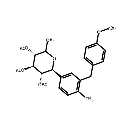 CCCCOc1ccc(Cc2cc([C@@H]3OC(OC(C)=O)[C@@H](OC(C)=O)[C@H](OC(C)=O)[C@H]3OC(C)=O)ccc2C)cc1